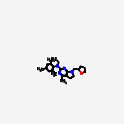 CCN(c1nc(C)c2c(n1)N(CC1CCCO1)CC2)c1c(C)cc(C)cc1C